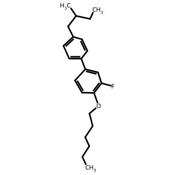 CCCCCCOc1ccc(-c2ccc(CC(C)CC)cc2)cc1F